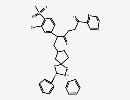 CS(=O)(=O)c1ccc(C(CC2CCC3(C2)O[C@H](c2ccccc2)[C@@H](c2ccccc2)O3)C(=O)CCC(=O)c2cnccn2)cc1Cl